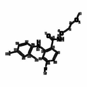 COCCONC(=O)c1ccc(F)cc1Nc1ccc(I)cc1C